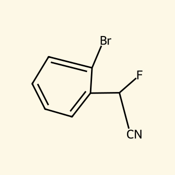 N#CC(F)c1ccccc1Br